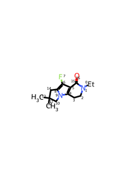 CCN1CCc2c(c(F)c3n2CC(C)(C)C3)C1=O